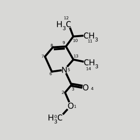 COCC(=O)N1CCC=C(C(C)C)C1C